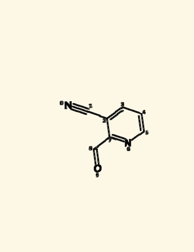 N#Cc1cccnc1[C]=O